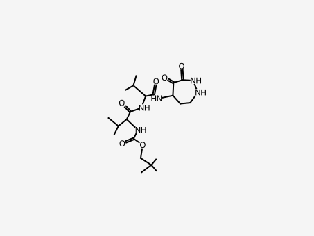 CC(C)C(NC(=O)OCC(C)(C)C)C(=O)NC(C(=O)NC1CCNNC(=O)C1=O)C(C)C